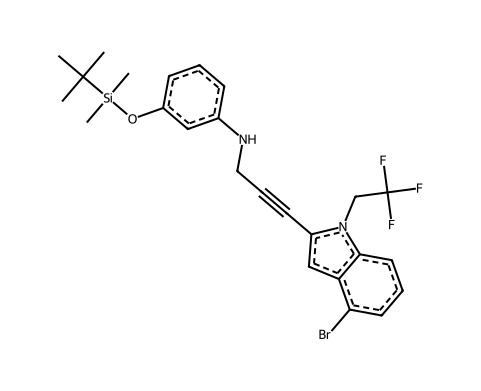 CC(C)(C)[Si](C)(C)Oc1cccc(NCC#Cc2cc3c(Br)cccc3n2CC(F)(F)F)c1